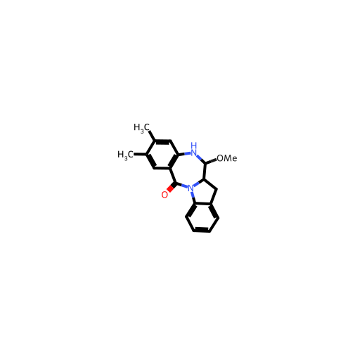 COC1Nc2cc(C)c(C)cc2C(=O)N2c3ccccc3CC12